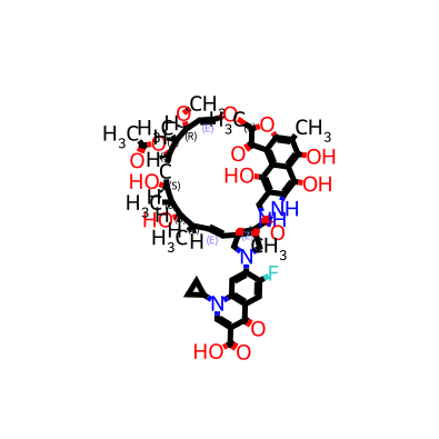 CO[C@H]1/C=C/O[C@@]2(C)Oc3c(C)c(O)c4c(O)c(c(CN[C@H]5CCN(c6cc7c(cc6F)c(=O)c(C(=O)O)cn7C6CC6)C5)c(O)c4c3C2=O)NC(=O)/C(C)=C\C=C\[C@H](C)[C@H](O)[C@@H](C)[C@@H](O)C[C@H](OC(C)=O)[C@@H]1C